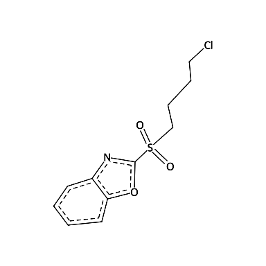 O=S(=O)(CCCCCl)c1nc2ccccc2o1